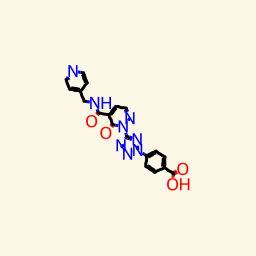 O=C(O)c1ccc(-n2nnc(-n3nccc(C(=O)NCc4ccncc4)c3=O)n2)cc1